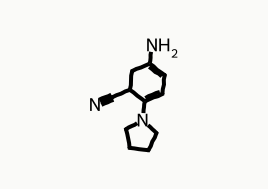 N#CC1CC(N)=CC=C1N1CCCC1